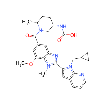 COc1cc(C(=O)N2C[C@@H](NC(=O)O)CC[C@H]2C)cc2nc(-c3cc4cccnc4n3CC3CC3)n(C)c12